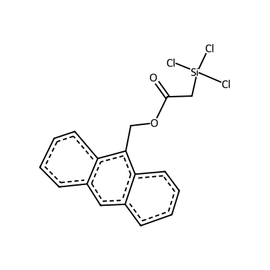 O=C(C[Si](Cl)(Cl)Cl)OCc1c2ccccc2cc2ccccc12